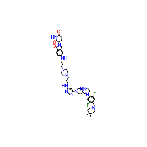 CC1(C)CCN(Cc2cc(F)c(N3CCNC4(CCN(c5cc(NCCCN6CCN(CCCNc7ccc8c(c7)CN(C7CCC(=O)NC7=O)C8=O)CC6)ncn5)CC4)C3)cc2F)CC1